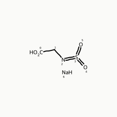 O=C(O)CN=S(=O)=O.[NaH]